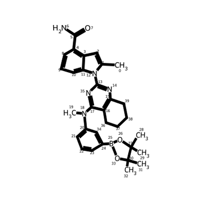 Cc1cc2c(C(N)=O)cccc2n1-c1nc2c(c(N(C)c3cccc(B4OC(C)(C)C(C)(C)O4)c3)n1)CCCC2